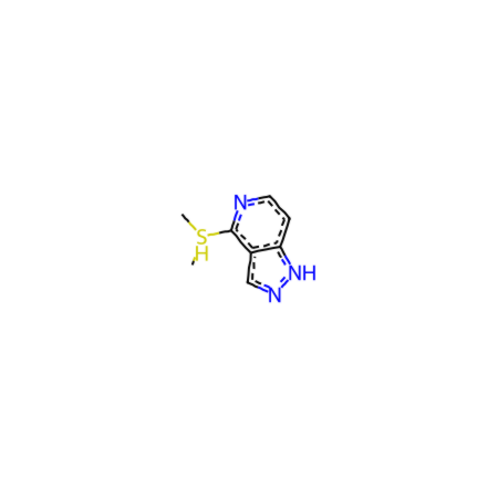 C[SH](C)c1nccc2[nH]ncc12